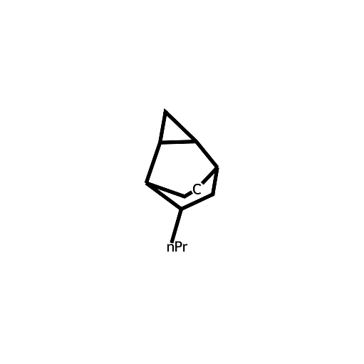 CCCC1CC2CCC1C1CC21